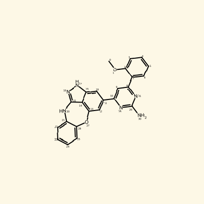 COc1ccccc1-c1cc(-c2cc3c4c(n[nH]c4c2)Nc2ccccc2O3)nc(N)n1